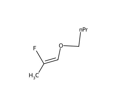 CCCCOC=C(C)F